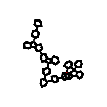 c1ccc(-c2ccc(-n3c4ccccc4c4cc(-c5ccc6c(c5)c5ccccc5n6-c5ccc(-c6ccccc6-c6ccc(-c7cccc(-c8ccccc8C8(c9ccccc9)c9ccccc9-c9ccccc98)c7)cc6)cc5)ccc43)cc2)cc1